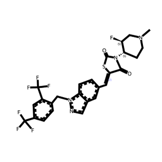 CN1CC[C@H](N2C(=O)S/C(=C\c3ccc4c(cnn4Cc4ccc(C(F)(F)F)cc4C(F)(F)F)c3)C2=O)[C@@H](F)C1